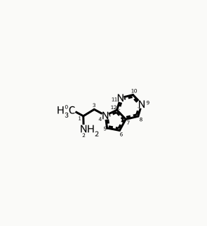 CC(N)Cn1ccc2cncnc21